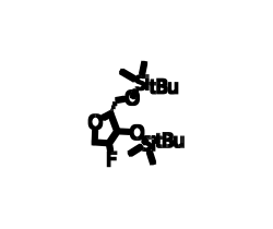 CC(C)(C)[Si](C)(C)OC[C@H]1OCC(F)C1O[Si](C)(C)C(C)(C)C